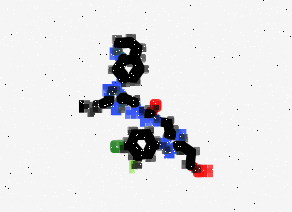 Cc1nc(CNC(=O)NCc2nc(CCO)nn2-c2ccc(Cl)c(F)c2)n(-c2ccc3cccnc3c2)n1